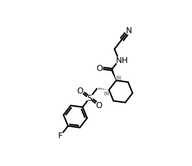 N#CCNC(=O)[C@H]1CCCC[C@@H]1CS(=O)(=O)c1ccc(F)cc1